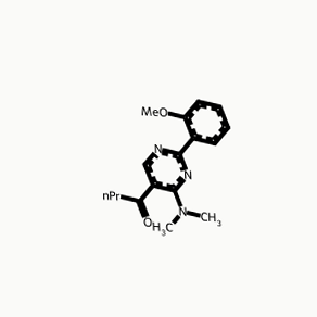 CCCC(=O)c1cnc(-c2ccccc2OC)nc1N(C)C